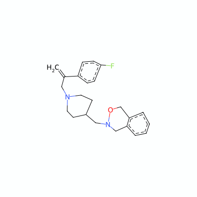 C=C(CN1CCC(CN2Cc3ccccc3CO2)CC1)c1ccc(F)cc1